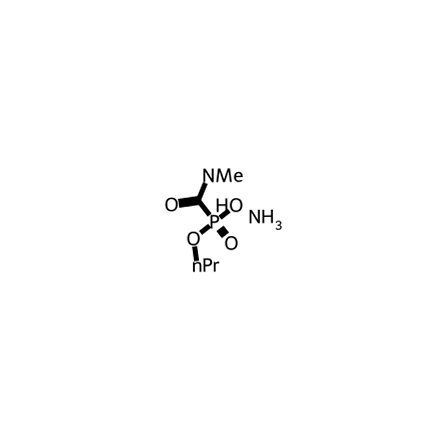 CCCOP(=O)(O)C(=O)NC.N